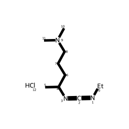 CCN=C=NC(C)CCCN(C)C.Cl